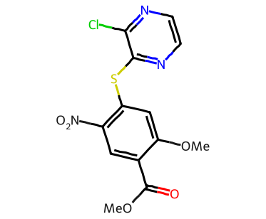 COC(=O)c1cc([N+](=O)[O-])c(Sc2nccnc2Cl)cc1OC